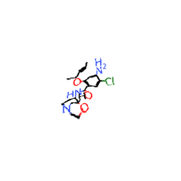 CC#C[C@H](C)Oc1cc(N)c(Cl)cc1C(=O)N[C@H]1CCN2CCO[C@@H]1C2